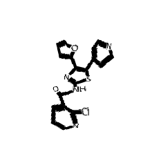 O=C(Nc1nc(-c2ccco2)c(-c2ccncc2)s1)c1cccnc1Cl